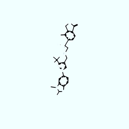 Cc1c([C@@H](O)CNCc2cn(-c3ccc4c(c3)N(C)C(O)O4)nc2C(F)(F)F)ccc2c1COC2=O